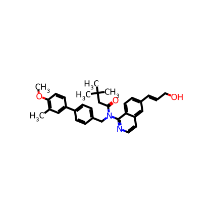 COc1ccc(-c2ccc(CN(C(=O)CC(C)(C)C)c3nccc4cc(C=CCO)ccc34)cc2)cc1C